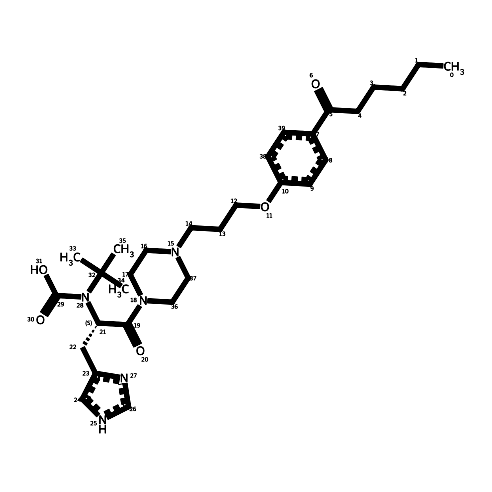 CCCCCC(=O)c1ccc(OCCCN2CCN(C(=O)[C@H](Cc3c[nH]cn3)N(C(=O)O)C(C)(C)C)CC2)cc1